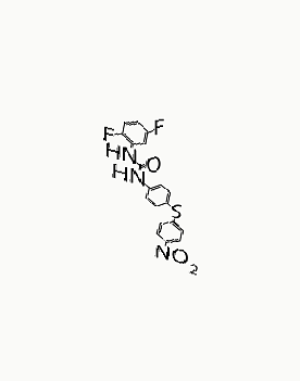 O=C(Nc1ccc(Sc2ccc([N+](=O)[O-])cc2)cc1)Nc1cc(F)ccc1F